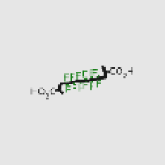 CC(CC(F)(F)C(F)(F)C(F)(F)C(F)(F)C(F)(F)C(F)(F)CC(C)C(=O)O)C(=O)O